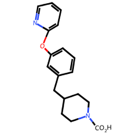 O=C(O)N1CCC(Cc2cccc(Oc3ccccn3)c2)CC1